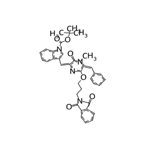 Cn1c(=Cc2ccccc2)c(OCCCN2C(=O)c3ccccc3C2=O)nc(=Cc2cn(C(=O)OC(C)(C)C)c3ccccc23)c1=O